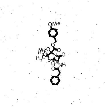 COc1ccc(COC(=O)[C@]2(OC)N3C(=O)[C@H](NC(=O)Cc4ccccc4)[C@H]3SC2(C)C)cc1